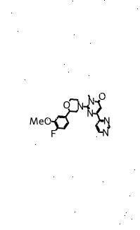 COc1cc(C2CN(c3nc(-c4ccncn4)cc(=O)n3C)CCO2)ccc1F